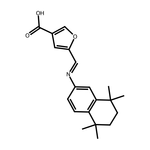 CC1(C)CCC(C)(C)c2cc(N=Cc3cc(C(=O)O)co3)ccc21